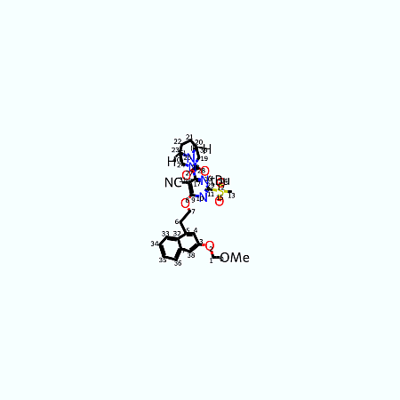 COCOc1cc(CCOc2nc(S(C)(=O)=O)nc(N3C[C@H]4CC[C@@H](C3)N4C(=O)OC(C)(C)C)c2C#N)c2ccccc2c1